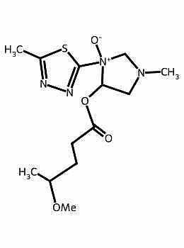 COC(C)CCC(=O)OC1CN(C)C[N+]1([O-])c1nnc(C)s1